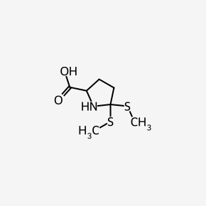 CSC1(SC)CCC(C(=O)O)N1